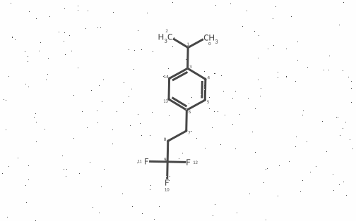 CC(C)c1ccc(CCC(F)(F)F)cc1